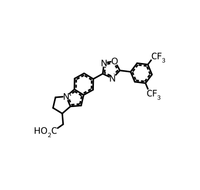 O=C(O)CC1CCn2c1cc1cc(-c3noc(-c4cc(C(F)(F)F)cc(C(F)(F)F)c4)n3)ccc12